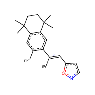 CCCc1cc2c(cc1/C(=C/c1ccno1)C(C)C)C(C)(C)CCC2(C)C